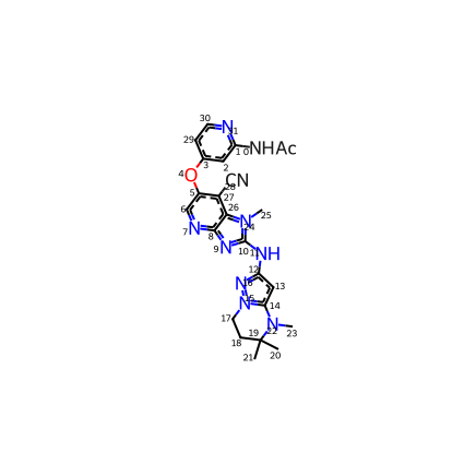 CC(=O)Nc1cc(Oc2cnc3nc(Nc4cc5n(n4)CCC(C)(C)N5C)n(C)c3c2C#N)ccn1